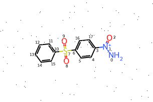 N[N+](=O)c1ccc(S(=O)(=O)c2cc[c]cc2)cc1